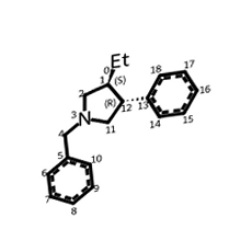 CC[C@@H]1CN(Cc2ccccc2)C[C@H]1c1ccccc1